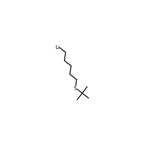 [Li][CH2]CCCCSC(C)(C)C